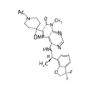 COC1(c2cc3c(N[C@H](C)c4cccc5c4OCC5(F)F)ncnc3n(C)c2=O)CCN(C(C)=O)CC1